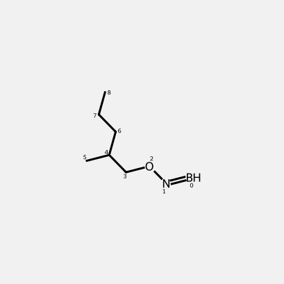 B=NOCC(C)CCC